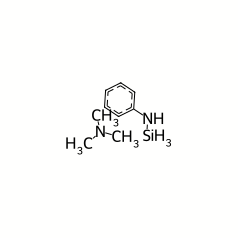 CN(C)C.[SiH3]Nc1ccccc1